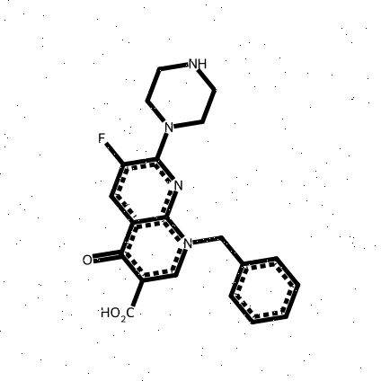 O=C(O)c1cn(Cc2ccccc2)c2nc(N3CCNCC3)c(F)cc2c1=O